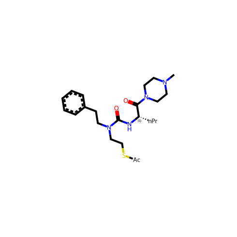 CCC[C@H](NC(=O)N(CCSC(C)=O)CCc1ccccc1)C(=O)N1CCN(C)CC1